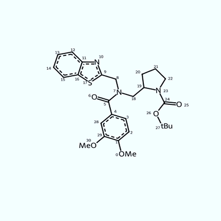 COc1ccc(C(=O)N(Cc2nc3ccccc3s2)CC2CCCN2C(=O)OC(C)(C)C)cc1OC